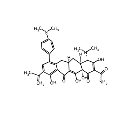 C=C(C)c1cc(-c2ccc(N(C)C)cc2)c2c(c1O)C(=O)C1=C(O)[C@]3(O)C(=O)C(C(N)=O)=C(O)[C@@H](N(C)C)[C@@H]3C[C@@H]1C2